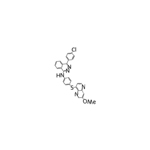 COc1cnc2c(Sc3ccc(Nc4nnc(-c5ccc(Cl)cc5)c5ccccc45)cc3)ccnc2c1